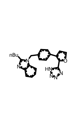 CCCCc1nc2ccccc2n1Cc1ccc(-c2ccoc2-c2nnn[nH]2)cc1